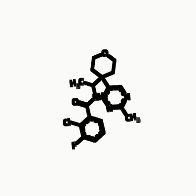 Cc1ncc(C2(C(C)NC(=O)c3cccc(F)c3Cl)CCOCC2)cn1